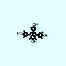 Cc1cc(CCC(CCc2cc(C)c(O)c(C)c2)(c2ccc(O)cc2)c2cc(C)c(O)c(C)c2)cc(C)c1O